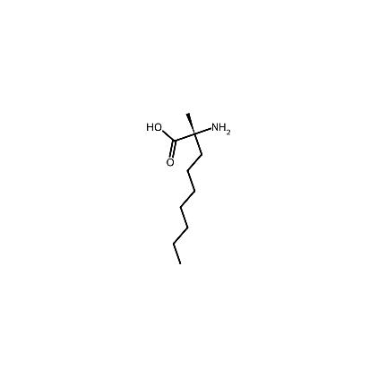 CCCCCCC[C@@](C)(N)C(=O)O